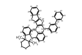 CC12CCCCC1(C)N1c3cccc4c3B(c3cccc2c31)c1c(oc2c1sc1ccccc12)N4c1cccc(-c2ccccc2)c1